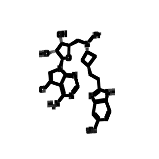 CC(C)N(C[C@H]1O[C@@H](n2cc(Cl)c3c(N)ncnc32)[C@H](O)[C@@H]1O)[C@H]1C[C@H](CCc2nc3cc(C(C)(C)C)ccc3[nH]2)C1